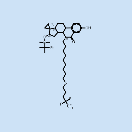 CC(C)C(C)(C)[Si](C)(C)O[C@@H]1CC2C3C(CC[C@]2(C)C12CC2)c1ccc(O)cc1C(=O)[C@H]3CCCCCCCCCSCCCC(F)(F)C(F)(F)F